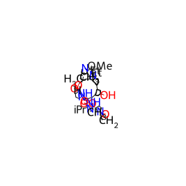 C=CC(=O)N1CC[C@H](C(=O)N(C)C(C(=O)N[C@H]2Cc3cc(O)cc(c3)-c3ccc4c(c3)c(c(-c3cccnc3[C@H](CC)OC)n4CC)CC(C)(C)COC(=O)[C@@H]3CCCN(N3)C2=O)C(C)C)C1